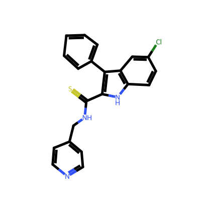 S=C(NCc1ccncc1)c1[nH]c2ccc(Cl)cc2c1-c1ccccc1